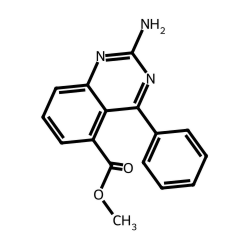 COC(=O)c1cccc2nc(N)nc(-c3ccccc3)c12